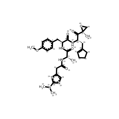 COc1ccc(C[C@H](NC(=O)[C@H](C)NC(=O)Cc2cnc(N(C)C)s2)C(=O)N[C@@H](CC2=CCCC2)C(=O)[C@]2(C)CO2)cc1